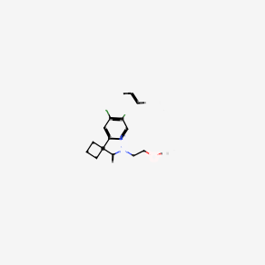 CCCOCCNC(C)C1(c2ccc(Cl)c(Cl)c2)CCC1.O=C(O)C=CC(=O)O